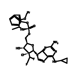 CC(C)OC(=O)C(C)N[P@@](=O)(OC[C@H]1O[C@@H](n2cnc3c(NC4CC4)nc(N)nc32)[C@@](Cl)(C(F)F)[C@@H]1O)Oc1ccccc1